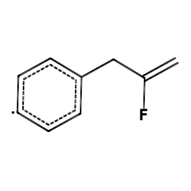 C=C(F)Cc1cc[c]cc1